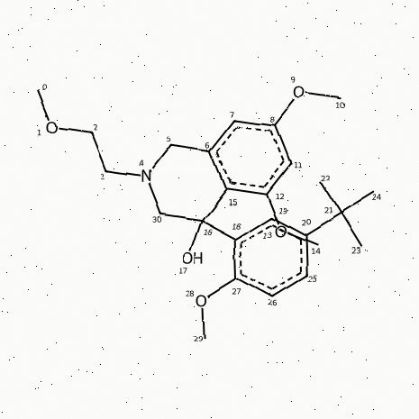 COCCN1Cc2cc(OC)cc(OC)c2C(O)(c2cc(C(C)(C)C)ccc2OC)C1